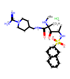 CCCCNC(C(=O)O)(C(=O)NCC1CCN(C(=N)N)CC1)C(=O)C(C)NS(=O)(=O)c1ccc2ccccc2c1.Cl